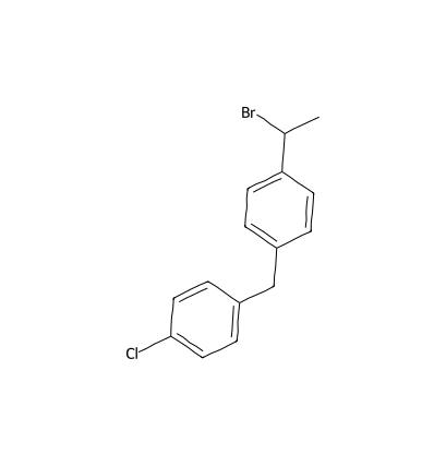 CC(Br)c1ccc(Cc2ccc(Cl)cc2)cc1